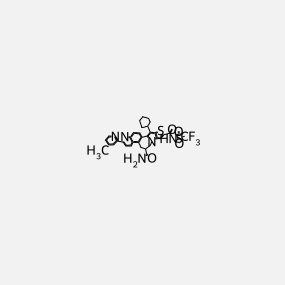 Cc1ccnc(-c2ccc3c4c(ccc3n2)-c2c(C3CCCCC3)c3sc(C(=O)NS(=O)(=O)C(F)(F)F)cc3n2CC(C(N)=O)C4)c1